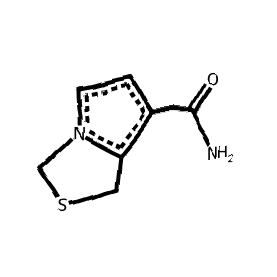 NC(=O)c1ccn2c1CSC2